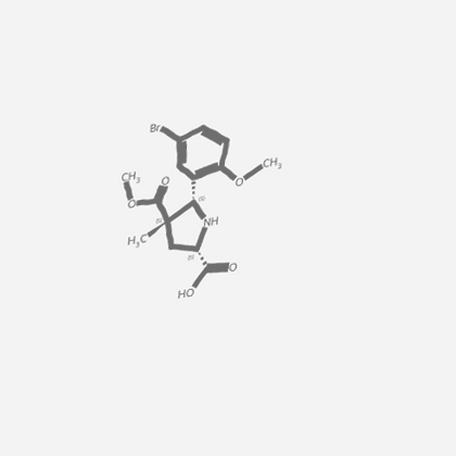 COC(=O)[C@@]1(C)C[C@@H](C(=O)O)N[C@H]1c1cc(Br)ccc1OC